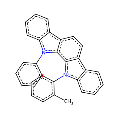 Cc1ccccc1-n1c2ccccc2c2ccc3c4ccccc4n(-c4ccccc4)c3c21